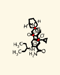 CCC(CC)Nc1cc(C(=O)N[C@H]2C[C@H]3CC[C@@H](C2)N3c2ccc(C(=O)C3CC3)cn2)c(Cl)cc1C(N)=O